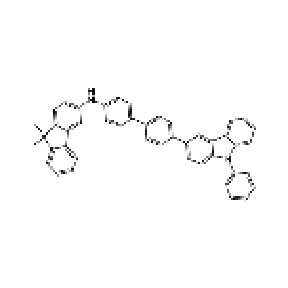 CC1(C)c2ccccc2-c2cc(Nc3ccc(-c4ccc(-c5ccc6c(c5)c5ccccc5n6-c5ccccc5)cc4)cc3)ccc21